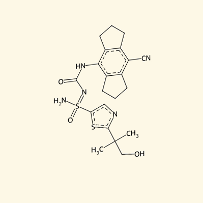 CC(C)(CO)c1ncc(S(N)(=O)=NC(=O)Nc2c3c(c(C#N)c4c2CCC4)CCC3)s1